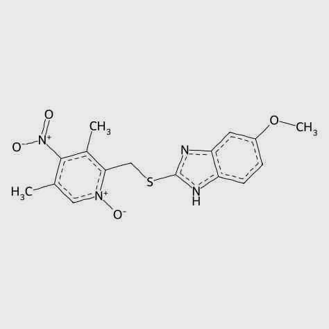 COc1ccc2[nH]c(SCc3c(C)c([N+](=O)[O-])c(C)c[n+]3[O-])nc2c1